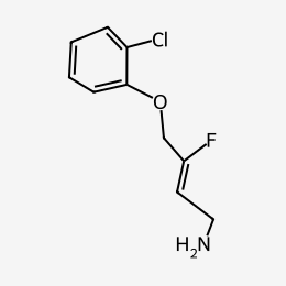 NC/C=C(\F)COc1ccccc1Cl